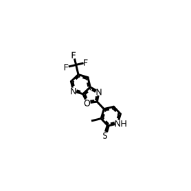 Cc1c(-c2nc3cc(C(F)(F)F)cnc3o2)cc[nH]c1=S